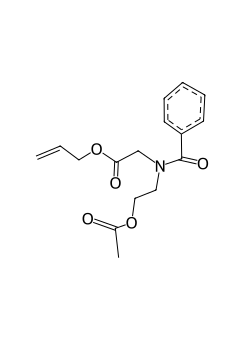 C=CCOC(=O)CN(CCOC(C)=O)C(=O)c1ccccc1